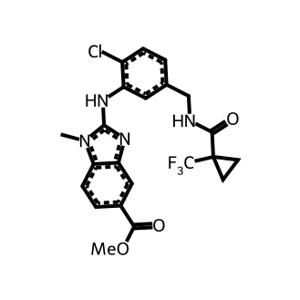 COC(=O)c1ccc2c(c1)nc(Nc1cc(CNC(=O)C3(C(F)(F)F)CC3)ccc1Cl)n2C